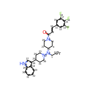 CC(C)CN(C1CCN(C(=O)C=Cc2cc(F)c(F)c(F)c2)CC1)N1CCC(c2c[nH]c3ccccc23)CC1